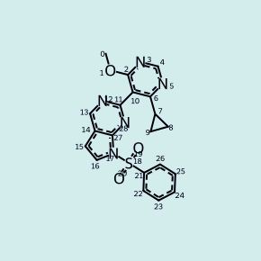 COc1ncnc(C2CC2)c1-c1ncc2ccn(S(=O)(=O)c3ccccc3)c2n1